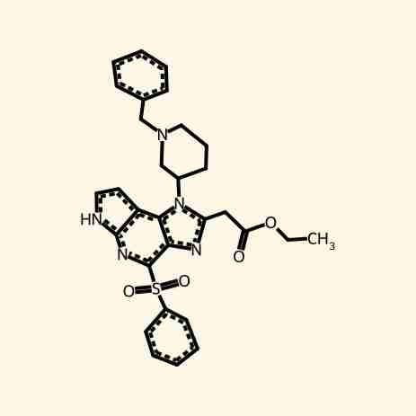 CCOC(=O)Cc1nc2c(S(=O)(=O)c3ccccc3)nc3[nH]ccc3c2n1C1CCCN(Cc2ccccc2)C1